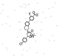 COC(=O)c1ccc(-c2ccc3c(c2)C[C@@H](N(C[C@@H](O)c2ccc(Cl)cc2)C(=O)OC(C)(C)C)CC3)cc1F